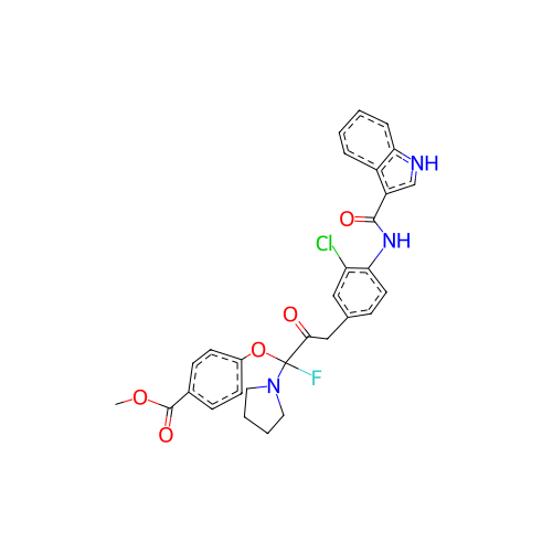 COC(=O)c1ccc(OC(F)(C(=O)Cc2ccc(NC(=O)c3c[nH]c4ccccc34)c(Cl)c2)N2CCCC2)cc1